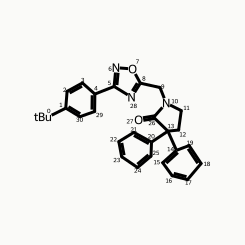 CC(C)(C)c1ccc(-c2noc(CN3CCC(c4ccccc4)(c4ccccc4)C3=O)n2)cc1